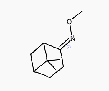 CO/N=C1/CCC2CC1C2(C)C